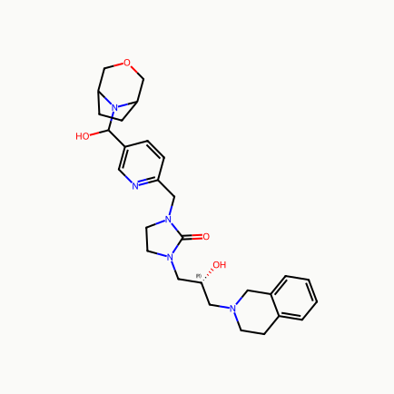 O=C1N(Cc2ccc(C(O)N3C4CCC3COC4)cn2)CCN1C[C@H](O)CN1CCc2ccccc2C1